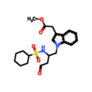 COC(=O)Cc1cn(CC(CC=O)NS(=O)(=O)C2CCCCC2)c2ccccc12